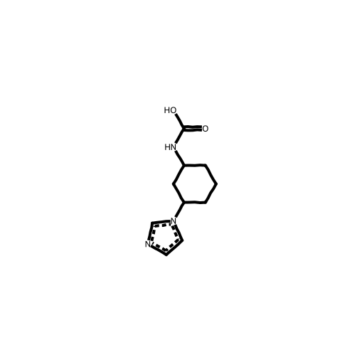 O=C(O)NC1CCCC(n2ccnc2)C1